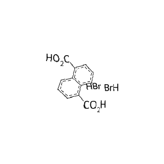 Br.Br.O=C(O)c1cccc2c(C(=O)O)cccc12